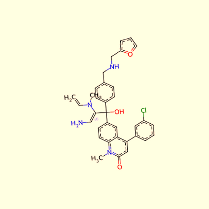 C=CN(C)/C(=C\N)C(O)(c1ccc(CNCc2ccco2)cc1)c1ccc2c(c1)c(-c1cccc(Cl)c1)cc(=O)n2C